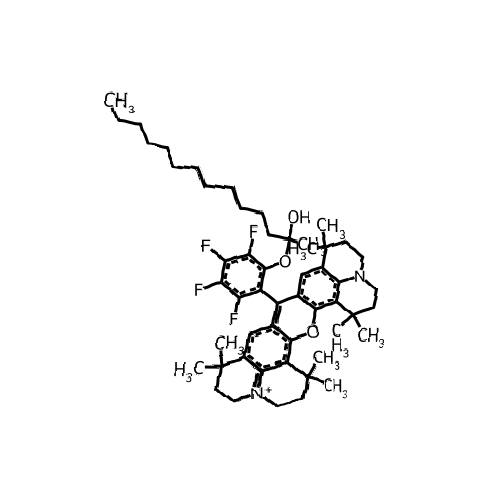 CCCCCCCCCCCCC(C)(O)Oc1c(F)c(F)c(F)c(F)c1C1=c2cc3c4c(c2Oc2c1cc1c5c2C(C)(C)CCN5CCC1(C)C)C(C)(C)CC[N+]=4CCC3(C)C